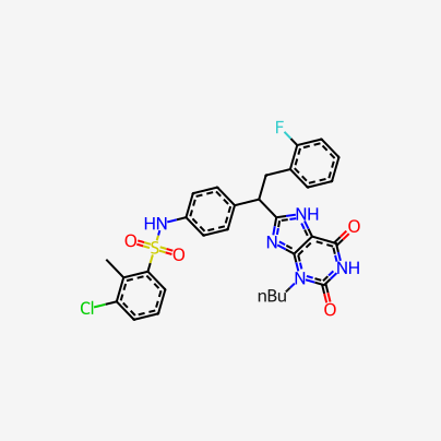 CCCCn1c(=O)[nH]c(=O)c2[nH]c(C(Cc3ccccc3F)c3ccc(NS(=O)(=O)c4cccc(Cl)c4C)cc3)nc21